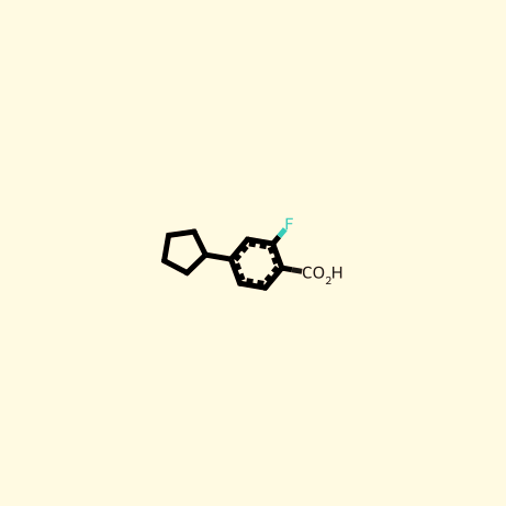 O=C(O)c1ccc(C2CCCC2)cc1F